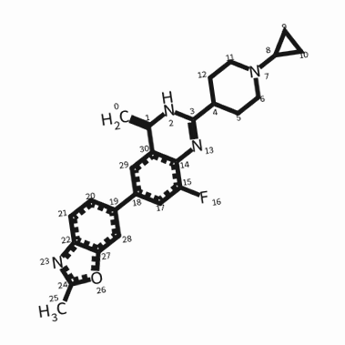 C=C1NC(C2CCN(C3CC3)CC2)=Nc2c(F)cc(-c3ccc4nc(C)oc4c3)cc21